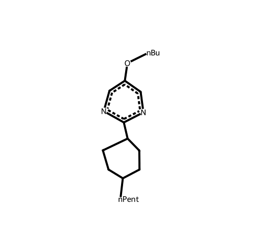 CCCCCC1CCC(c2ncc(OCCCC)cn2)CC1